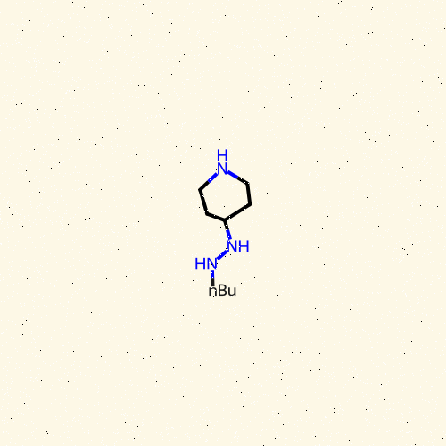 CCCCNNC1CCNCC1